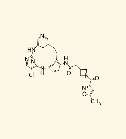 Cc1cc(C(=O)N2CC(CC(=O)Nc3ccc4cc3CCC3C=NC=C(C3)Nc3ncc(Cl)c(n3)N4)C2)no1